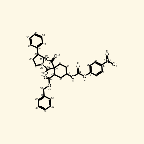 O=C(Oc1ccc([N+](=O)[O-])cc1)OC1CCC(C(=O)O)(C(=O)N2CCC(c3ccccc3)C2)C(C(=O)OCc2ccccc2)C1